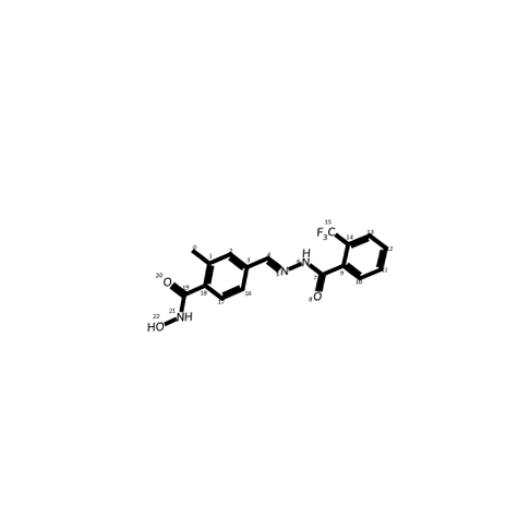 Cc1cc(C=NNC(=O)c2ccccc2C(F)(F)F)ccc1C(=O)NO